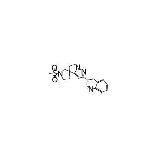 CS(=O)(=O)N1CCC2(CCn3nc(-c4cnc5ccccc5c4)cc32)C1